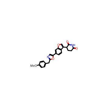 COc1ccc(Cc2ncc(-c3ccc4c(C5CCC(=O)NC5=O)coc4c3)o2)cc1